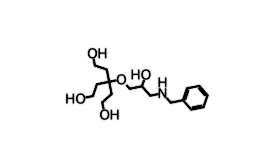 OCCC(CCO)(CCO)OCC(O)CNCc1ccccc1